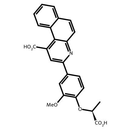 COc1cc(-c2cc(C(=O)O)c3c(ccc4ccccc43)n2)ccc1O[C@@H](C)C(=O)O